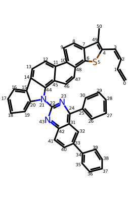 C=C/C=C\c1sc2c(ccc3c4ccc5c6ccccc6n(-c6nc(-c7ccccc7)c7cc(-c8ccccc8)ccc7n6)c5c4ccc32)c1C